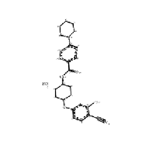 Cl.N#Cc1ccc(OC2CCC(NC(=O)c3ccc(N4CCCCC4)nn3)CC2)cc1Cl